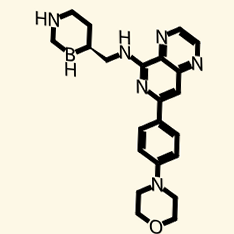 B1CNCC[C@H]1CNc1nc(-c2ccc(N3CCOCC3)cc2)cc2nccnc12